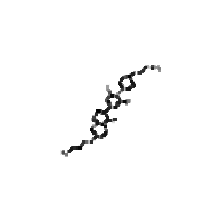 C=CCCc1ccc(-c2c(F)cc(-c3ccc4cc(CCCCC)ccc4c3F)cc2F)cc1